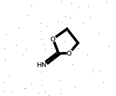 N=C1OCCO1